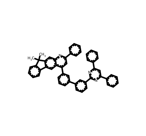 CC1(C)c2ccccc2-c2cc3c(-c4cccc(-c5cccc(-c6nc(-c7ccccc7)cc(-c7ccccc7)n6)c5)c4)cc(-c4ccccc4)nc3cc21